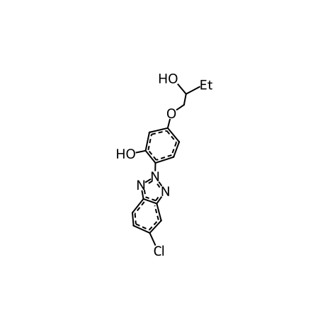 CCC(O)COc1ccc(-n2nc3ccc(Cl)cc3n2)c(O)c1